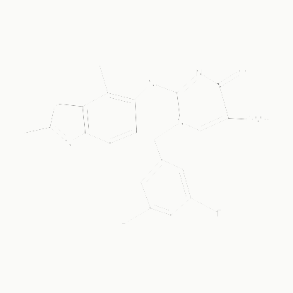 COc1cn(Cc2cc(F)cc(F)c2)c(Nc2ccc3nc(C)sc3c2C)nc1=O